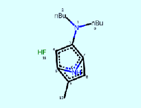 CCCCN(CCCC)c1cc2[nH]c1cc2C.F